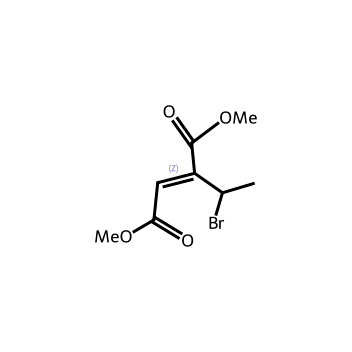 COC(=O)/C=C(/C(=O)OC)C(C)Br